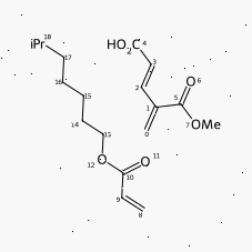 C=C(C=CC(=O)O)C(=O)OC.C=CC(=O)OCCCCCC(C)C